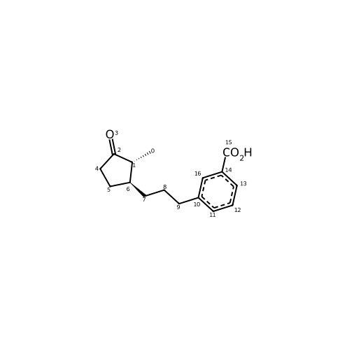 C[C@H]1C(=O)CC[C@@H]1CCCc1cccc(C(=O)O)c1